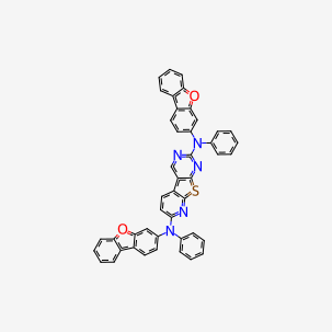 c1ccc(N(c2ccc3c(c2)oc2ccccc23)c2ccc3c(n2)sc2nc(N(c4ccccc4)c4ccc5c(c4)oc4ccccc45)ncc23)cc1